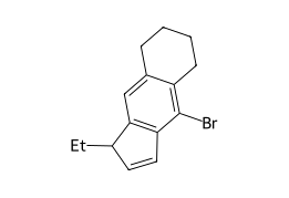 CCC1C=Cc2c1cc1c(c2Br)CCCC1